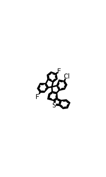 Fc1ccc2c(c1)C1(c3cc(F)ccc3-2)c2cc(Cl)ccc2-c2c1ccc1sc3ccccc3c21